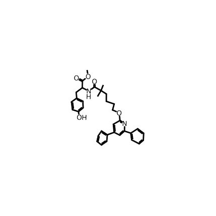 COC(=O)C(Cc1ccc(O)cc1)NC(=O)C(C)(C)CCCCOc1cc(-c2ccccc2)cc(-c2ccccc2)n1